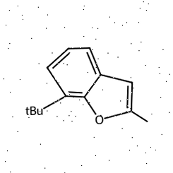 Cc1cc2cccc(C(C)(C)C)c2o1